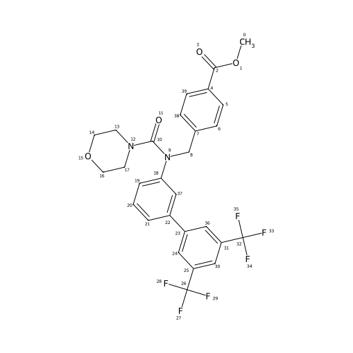 COC(=O)c1ccc(CN(C(=O)N2CCOCC2)c2cccc(-c3cc(C(F)(F)F)cc(C(F)(F)F)c3)c2)cc1